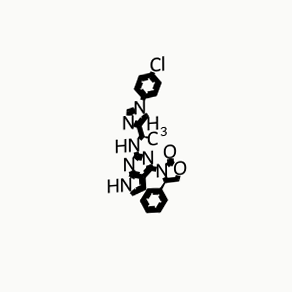 C[C@H](Nc1nc(N2C(=O)OC[C@H]2c2ccccc2)c2cc[nH]c2n1)c1cn(-c2ccc(Cl)cc2)cn1